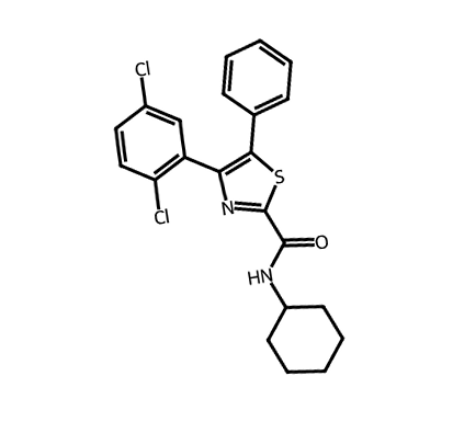 O=C(NC1CCCCC1)c1nc(-c2cc(Cl)ccc2Cl)c(-c2ccccc2)s1